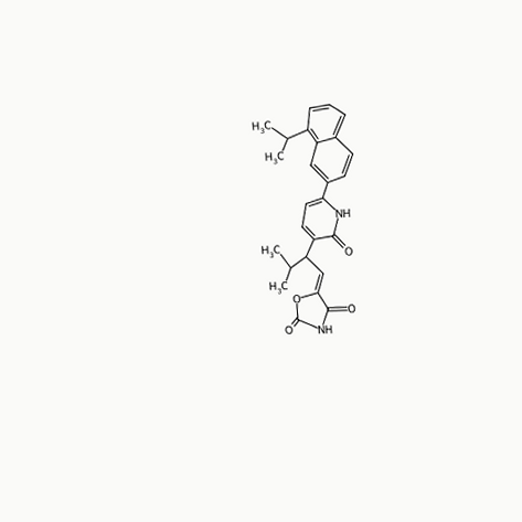 CC(C)c1cccc2ccc(-c3ccc(C(/C=C4\OC(=O)NC4=O)C(C)C)c(=O)[nH]3)cc12